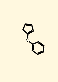 C1=CC[C]([V][c]2ccccc2)=C1